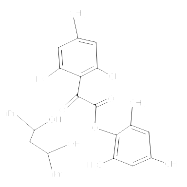 CC(C)C(O)CC(O)C(C)C.Cc1cc(C)c(OC(=O)C(=O)c2c(C)cc(C)cc2C)c(C)c1